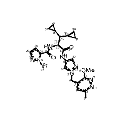 COc1nnc(C)cc1Cn1cc(NC(=O)[C@@H](NC(=O)c2ccnn2C(C)C)C(C2CC2)C2CC2)cn1